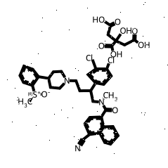 CN(CC(CCN1CCC(c2ccccc2[S@+](C)[O-])CC1)c1ccc(Cl)c(Cl)c1)C(=O)c1ccc(C#N)c2ccccc12.O=C(O)CC(O)(CC(=O)O)C(=O)O